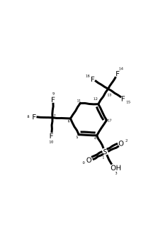 O=S(=O)(O)C1=CC(C(F)(F)F)CC(C(F)(F)F)=C1